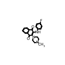 CN1CCN(C2=C(Nc3ccc(F)cc3)C(=O)c3ccccc3C2=O)CC1